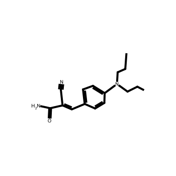 CCCN(CCC)c1ccc(/C=C(\C#N)C(N)=O)cc1